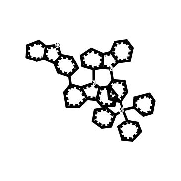 c1ccc([Si](c2ccccc2)(c2ccccc2)c2ccc(-n3c4ccccc4c4cccc(-n5c6ccccc6c6cccc(-c7ccc8oc9ccccc9c8c7)c65)c43)cc2)cc1